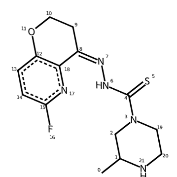 CC1CN(C(=S)N/N=C2/CCOc3ccc(F)nc32)CCN1